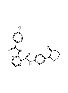 O=C(Nc1nccnc1C(=O)Nc1ccc(N2CCCCC2=O)cc1)c1ccc(Cl)cc1